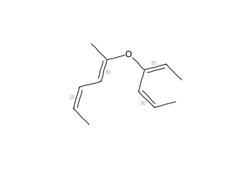 C/C=C\C=C(/C)OC(/C=C\C)=C/C